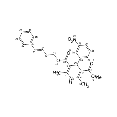 COC(=O)C1=C(C)NC(C)=C(C(=O)OCC/C=C/c2ccccc2)C1c1cccc([N+](=O)[O-])c1